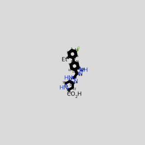 CCc1ccc(F)cc1-c1ccc2c(-c3nc4c([nH]3)CNC(C(=O)O)C4)n[nH]c2c1